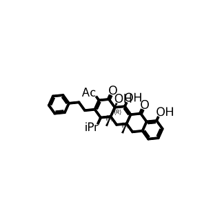 CC(=O)C1=C(CCc2ccccc2)C(C(C)C)[C@@]2(C)C[C@@]3(C)Cc4cccc(O)c4C(=O)C3=C(O)[C@@]2(O)C1=O